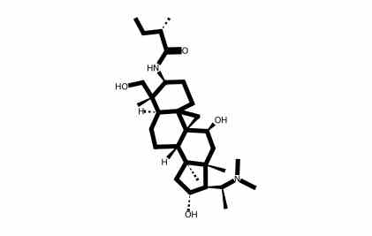 CC[C@H](C)C(=O)N[C@H]1CCC23C[C@@]24[C@@H](CC[C@H]3[C@]1(C)CO)[C@]1(C)C[C@@H](O)[C@H]([C@H](C)N(C)C)[C@@]1(C)C[C@@H]4O